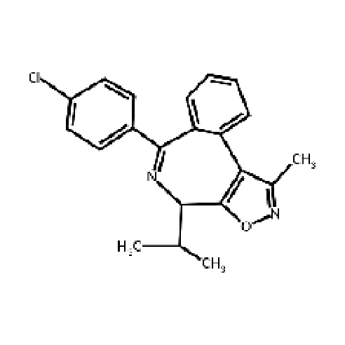 Cc1noc2c1-c1ccccc1C(c1ccc(Cl)cc1)=NC2C(C)C